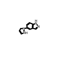 C1=CNN(c2ccc3[nH]ncc3c2)C1